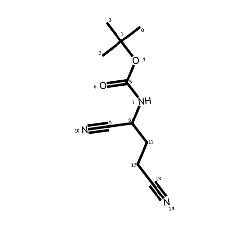 CC(C)(C)OC(=O)NC(C#N)CCC#N